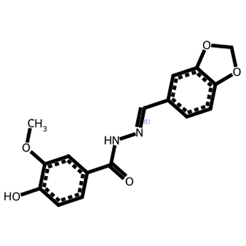 COc1cc(C(=O)N/N=C/c2ccc3c(c2)OCO3)ccc1O